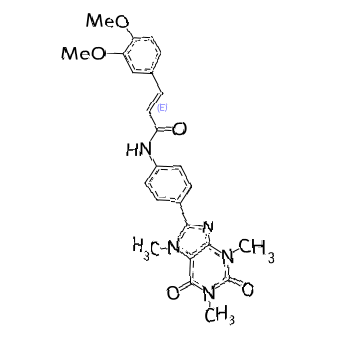 COc1ccc(/C=C/C(=O)Nc2ccc(-c3nc4c(c(=O)n(C)c(=O)n4C)n3C)cc2)cc1OC